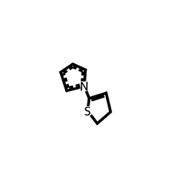 C1=C(n2cccc2)SCC1